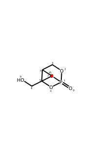 O=P12OCC(CO1)C(CO)O2